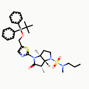 CCCN(C)S(=O)(=O)N1CC[C@H]2[C@H]1[C@H](C)C(=O)N2c1ncc(CO[Si](c2ccccc2)(c2ccccc2)C(C)(C)C)s1